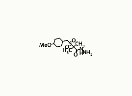 COC1CCC(CS(=O)(=O)C(C)(C)C(=O)NN)CC1